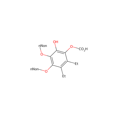 CCCCCCCCCOc1c(O)c(OC(=O)O)c(CC)c(CC)c1OCCCCCCCCC